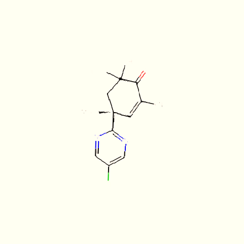 CO[C@]1(c2ncc(Cl)cn2)C=C(C#N)C(=O)C(C)(C)C1